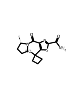 C[C@H]1CCCN1C(=O)c1nc(C(N)=O)sc1C1(O)CCC1